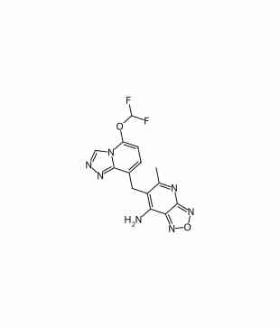 Cc1nc2nonc2c(N)c1Cc1ccc(OC(F)F)n2cnnc12